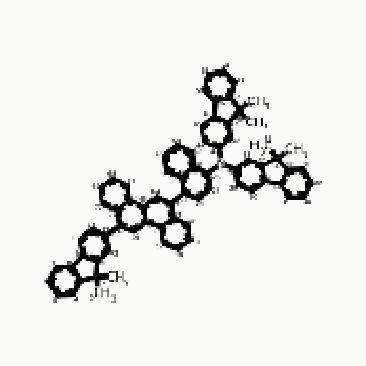 CC1(C)c2ccccc2-c2ccc(-c3cc4c5ccccc5c(-c5ccc(N(c6ccc7c(c6)C(C)(C)c6ccccc6-7)c6ccc7c(c6)C(C)(C)c6ccccc6-7)c6ccccc56)cc4c4ccccc34)cc21